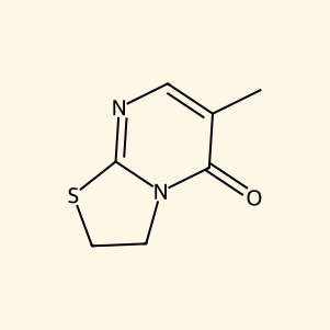 Cc1cnc2n(c1=O)CCS2